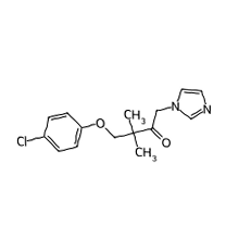 CC(C)(COc1ccc(Cl)cc1)C(=O)Cn1ccnc1